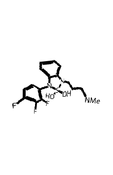 CNCCCN1c2ccccc2N(c2ccc(F)c(F)c2F)S1(O)O